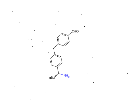 CCCC[C@H](N)c1ccc(Cc2ccc(C=O)cc2)cc1